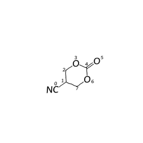 N#CC1COC(=O)OC1